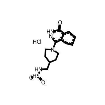 Cl.O=c1[nH]nc(N2CCC(CN[SH](=O)=O)CC2)c2ccccc12